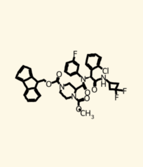 COC(=O)N1CCN(C(=O)OCC2c3ccccc3-c3ccccc32)CC1C(=O)N(c1cccc(F)c1)[C@H](C(=O)NC1CC(F)(F)C1)c1ccccc1Cl